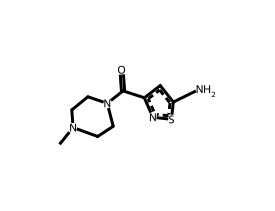 CN1CCN(C(=O)c2cc(N)sn2)CC1